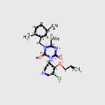 C=CCOc1c(Cl)cncc1-n1c(=O)nc(SC)n(Cc2cc(C#N)ccc2C)c1=O